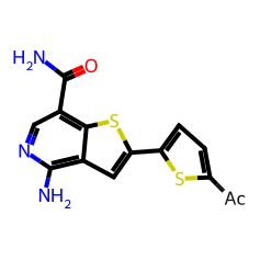 CC(=O)c1ccc(-c2cc3c(N)ncc(C(N)=O)c3s2)s1